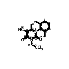 Cc1cccc(C)c1-n1c(C)c(C#N)c(=O)n(SC(Cl)(Cl)Cl)c1=O